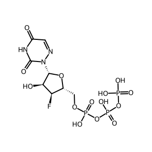 O=c1cnn([C@@H]2O[C@H](COP(=O)(O)OP(=O)(O)OP(=O)(O)O)[C@@H](F)[C@H]2O)c(=O)[nH]1